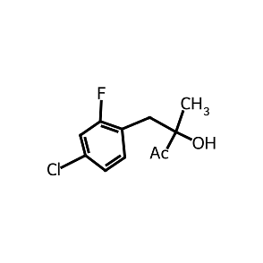 CC(=O)C(C)(O)Cc1ccc(Cl)cc1F